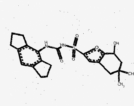 CC1(C)Cc2cc(S(=O)(=O)NC(=O)Nc3c4c(cc5c3CCC5)CCC4)oc2C(O)C1